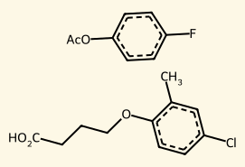 CC(=O)Oc1ccc(F)cc1.Cc1cc(Cl)ccc1OCCCC(=O)O